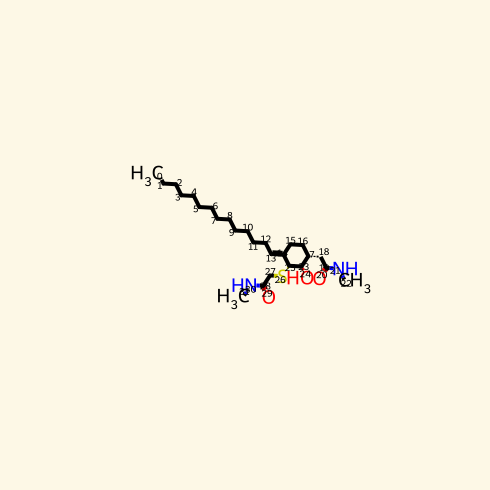 CCCCCCCCCCCCC/C=C1\CC[C@H](CC(=O)NC)[C@@H](O)[C@@H]1SCC(=O)NC